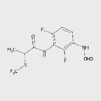 CC(SC(F)(F)F)C(=O)Nc1c(F)ccc(NC=O)c1F